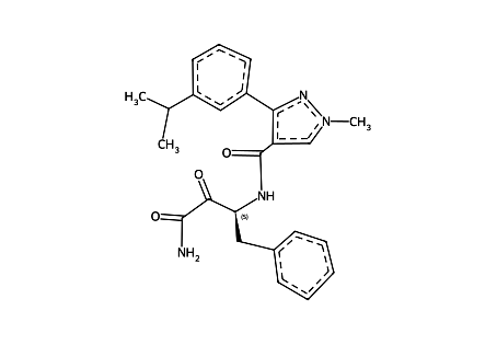 CC(C)c1cccc(-c2nn(C)cc2C(=O)N[C@@H](Cc2ccccc2)C(=O)C(N)=O)c1